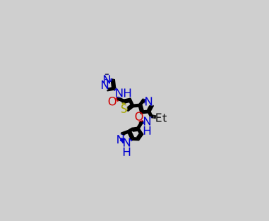 CCC(NC(=O)c1ccc2[nH]ncc2c1)c1cncc(-c2csc(C(=O)Nc3cnn(C)c3)c2)c1